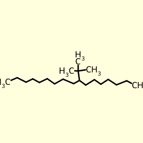 CCCCCCCCCC(CCCCCCC)C(C)(C)C